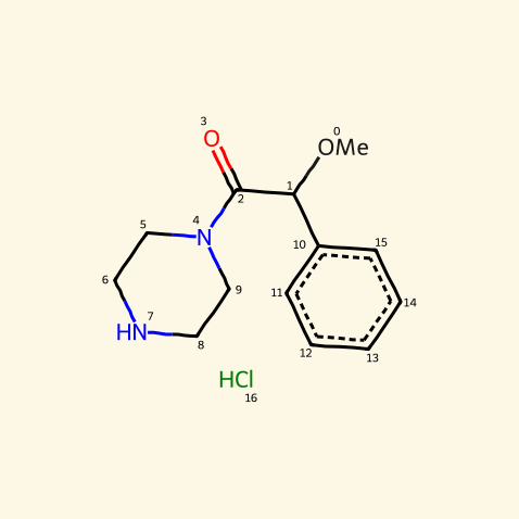 COC(C(=O)N1CCNCC1)c1ccccc1.Cl